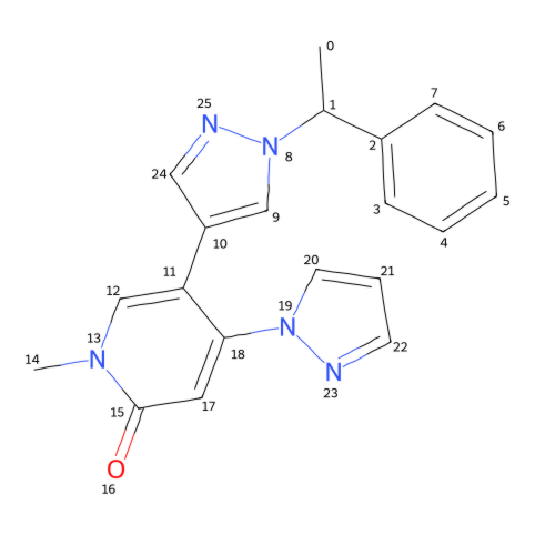 CC(c1ccccc1)n1cc(-c2cn(C)c(=O)cc2-n2cccn2)cn1